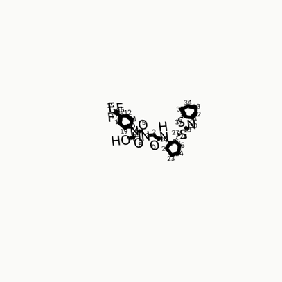 O=C(CNC(=O)N(C(=O)O)c1ccc(C(F)(F)F)cc1)N[C@H]1CCCC[C@H]1CSc1nc2ccccc2s1